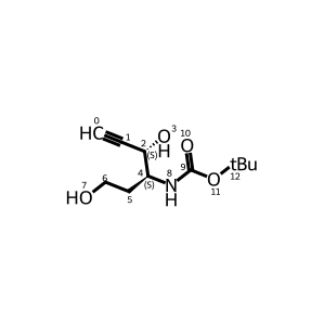 C#C[C@H](O)[C@H](CCO)NC(=O)OC(C)(C)C